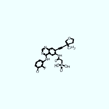 CC1(C#Cc2cc3ncnc(Nc4cccc(Cl)c4F)c3cc2NC(=O)CP(=O)(O)O)CCOC1